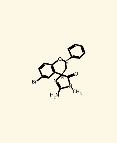 CN1C(=O)[C@]2(C[C@H](c3ccccc3)Oc3ccc(Br)cc32)N=C1N